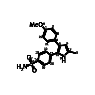 COc1ccc(-c2cc(C)[nH]c2-c2ccc(S(N)(=O)=O)cc2)cc1